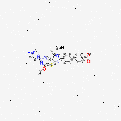 CCOc1nc(N2CCNCC2)nc2c1sc1nc(-c3ccc(-c4ccc(C(=O)O)cc4)cc3)nc(C)c12.[NaH]